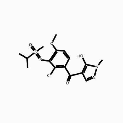 COc1ccc(C(=O)c2cnn(C)c2O)c(Cl)c1N=S(C)(=O)C(C)C